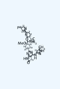 CO[C@]1(C(=O)N[C@@H](C)c2ccc(-n3cc(F)cn3)nc2)CC[C@H](c2nc3c(c(Nc4cc(C)[nH]n4)n2)CC(=O)N3)CC1